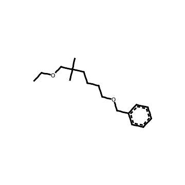 CCOCC(C)(C)CCCCOCc1ccccc1